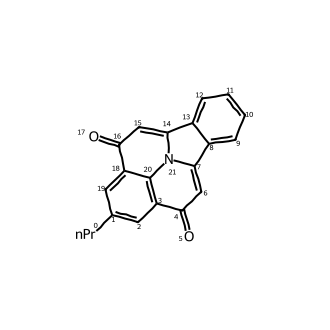 CCCc1cc2c(=O)cc3c4ccccc4c4cc(=O)c(c1)c2n34